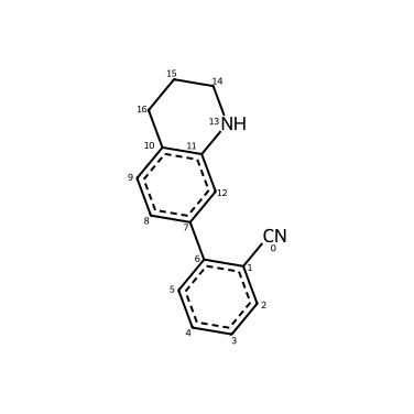 N#Cc1ccccc1-c1ccc2c(c1)NCCC2